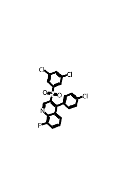 O=S(=O)(c1cc(Cl)cc(Cl)c1)c1cnc2c(F)cccc2c1-c1ccc(Cl)cc1